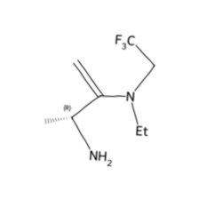 C=C([C@@H](C)N)N(CC)CC(F)(F)F